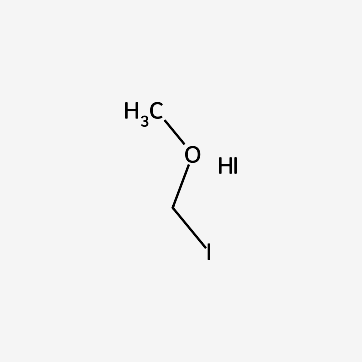 COCI.I